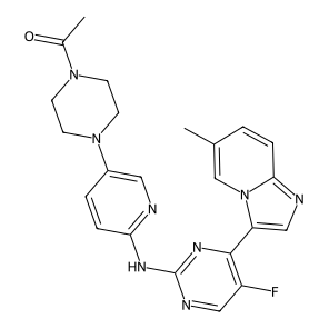 CC(=O)N1CCN(c2ccc(Nc3ncc(F)c(-c4cnc5ccc(C)cn45)n3)nc2)CC1